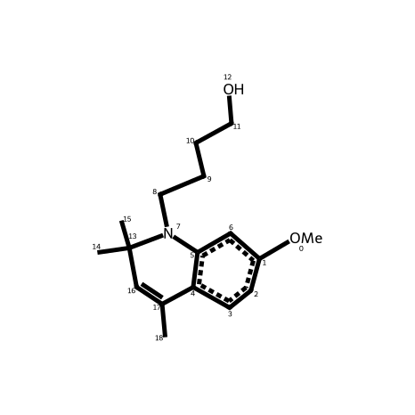 COc1ccc2c(c1)N(CCCCO)C(C)(C)C=C2C